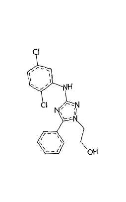 OCCn1nc(Nc2cc(Cl)ccc2Cl)nc1-c1ccccc1